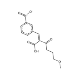 COCCCC(=O)C(=Cc1cccc([N+](=O)[O-])c1)C(=O)O